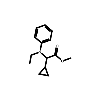 CCN(c1ccccc1)C(C(=O)OC)C1CC1